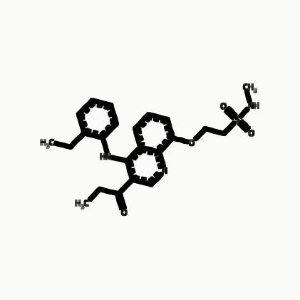 CCC(=O)c1cnc2c(OCCS(=O)(=O)NC)cccc2c1Nc1ccccc1CC